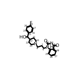 O=c1[nH]c(=O)n(CCCN2CCC(C(O)c3ccc(F)cc3)CC2)c2ccccc12